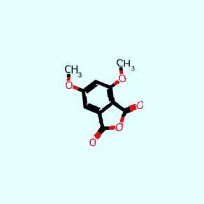 COc1cc(OC)c2c(c1)C(=O)OC2=O